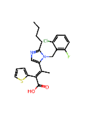 CCCCc1ncc(C(C)=C(C(=O)O)c2cccs2)n1Cc1c(F)cccc1Cl